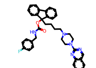 O=C(NCc1ccc(F)cc1)OC1(CCCCN2CCN(c3ncc4ccccc4n3)CC2)c2ccccc2-c2ccccc21